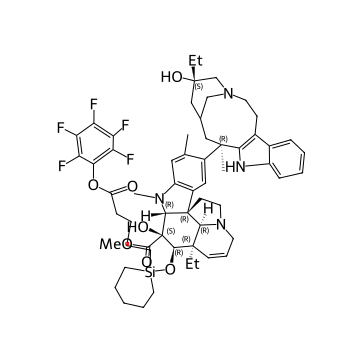 CC[C@]1(O)CC2CN(CCc3c([nH]c4ccccc34)[C@@](C)(c3cc4c(cc3C)N(C)[C@H]3[C@@](O)(C(=O)OC)[C@H](O[Si]5(CCCCC(=O)Oc6c(F)c(F)c(F)c(F)c6F)CCCCC5)[C@]5(CC)C=CCN6CC[C@]43[C@@H]65)C2)C1